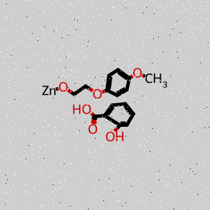 COc1ccc(OCC[O][Zn])cc1.O=C(O)c1ccccc1O